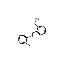 Cc1ccccc1OCc1ccccc1CC#N